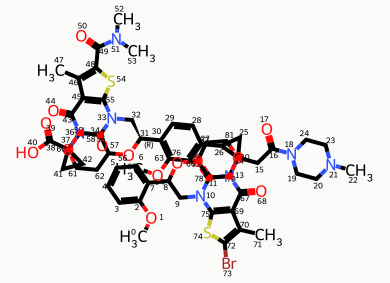 COc1ccccc1C(Cn1c(=O)n(C2(CC(=O)N3CCN(C)CC3)CC2c2ccc([C@H](Cn3c(=O)n(C4(C(=O)O)CC4)c(=O)c4c(C)c(C(=O)N(C)C)sc43)OC3CCOCC3)c(OC)c2)c(=O)c2c(C)c(Br)sc21)OC1CCOCC1